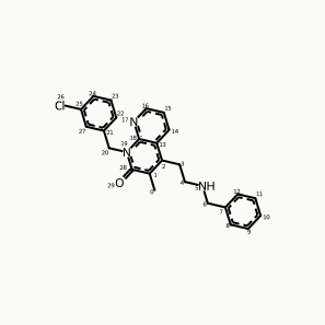 Cc1c(CCNCc2ccccc2)c2cccnc2n(Cc2cccc(Cl)c2)c1=O